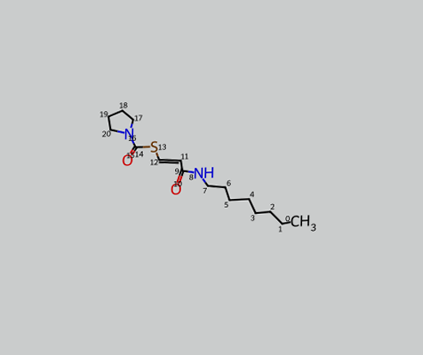 CCCCCCCCNC(=O)C=CSC(=O)N1CCCC1